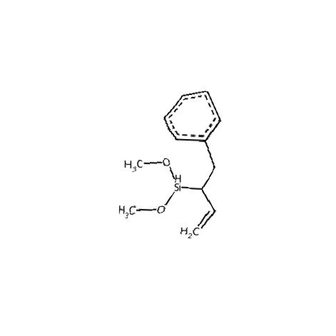 C=CC(Cc1ccccc1)[SiH](OC)OC